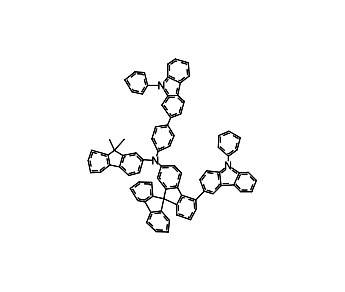 CC1(C)c2ccccc2-c2ccc(N(c3ccc(-c4ccc5c6ccccc6n(-c6ccccc6)c5c4)cc3)c3ccc4c(c3)C3(c5ccccc5-c5ccccc53)c3cccc(-c5ccc6c(c5)c5ccccc5n6-c5ccccc5)c3-4)cc21